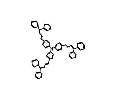 C(=Cc1ccc(N(c2ccc(C=CC=C(c3ccccc3)c3ccccc3)cc2)c2ccc(CCC=C(c3ccccc3)c3ccccc3)cc2)cc1)C=C(c1ccccc1)c1ccccc1